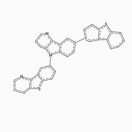 c1ccc2c(c1)sc1ccc(-c3ccc4c(c3)c3ncccc3n4-c3ccc4sc5cccnc5c4c3)cc12